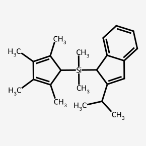 CC1=C(C)C([Si](C)(C)C2C(C(C)C)=Cc3ccccc32)C(C)=C1C